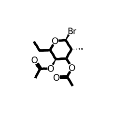 CCC1O[C@@H](Br)[C@H](C)C(OC(C)=O)[C@H]1OC(C)=O